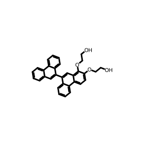 OCCOc1ccc2c(cc(-c3cc4ccccc4c4ccccc34)c3ccccc32)c1OCCO